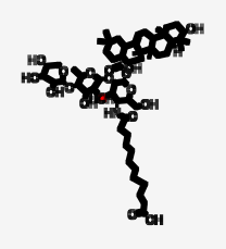 CC1O[C@@H](OC2C(O)[C@@H](NC(=O)CCCCCCCCCCC(=O)O)C(CO)O[C@H]2OC(=O)[C@]23CCC(C)(C)CC2C2=CCC4C5(C)CC[C@H](O)C(C)(C)[C@@H]5CC[C@]4(C)[C@]2(C)CC3O)C(O)C(O)[C@H]1O[C@@H]1OC[C@@H](O)C(O)C1O